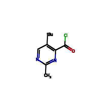 Cc1ncc(C(C)(C)C)c(C(=O)Cl)n1